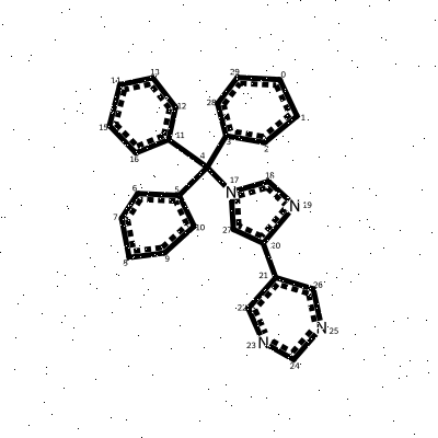 c1ccc(C(c2ccccc2)(c2ccccc2)n2cnc(-c3cncnc3)c2)cc1